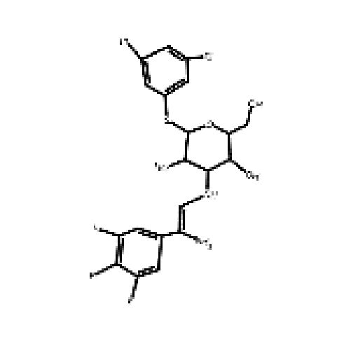 N/C(=C\NC1C(O)C(CO)OC(Sc2cc(Cl)cc(Cl)c2)C1O)c1cc(F)c(F)c(F)c1